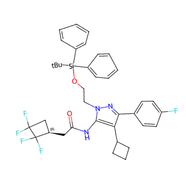 CC(C)(C)[Si](OCCn1nc(-c2ccc(F)cc2)c(C2CCC2)c1NC(=O)C[C@@H]1CC(F)(F)C1(F)F)(c1ccccc1)c1ccccc1